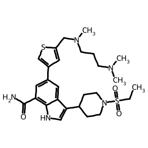 CCS(=O)(=O)N1CCC(c2c[nH]c3c(C(N)=O)cc(-c4csc(CN(C)CCCN(C)C)c4)cc23)CC1